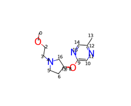 COCCN1CC[C@H](Oc2cnc(C)cn2)C1